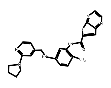 Cc1ccc(NCc2ccnc(N3CCCC3)c2)cc1NC(=O)c1cc2nccnc2s1